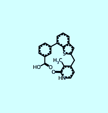 Cc1c(Cc2cc3cccc(-c4cccc(C(=O)O)c4)c3s2)cc[nH]c1=O